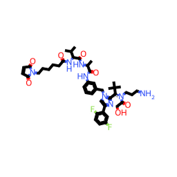 CC(NC(=O)C(NC(=O)CCCCCN1C(=O)C=CC1=O)C(C)C)C(=O)Nc1cccc(Cn2cc(-c3cc(F)ccc3F)nc2[C@H](N(CCCN)C(=O)CO)C(C)(C)C)c1